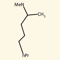 CCCCCC[C](C)NC